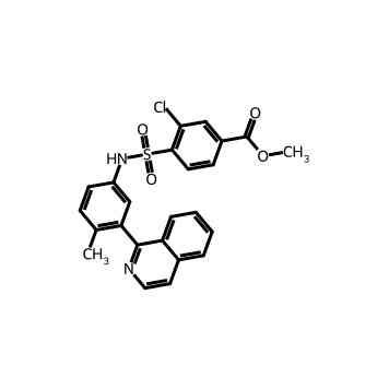 COC(=O)c1ccc(S(=O)(=O)Nc2ccc(C)c(-c3nccc4ccccc34)c2)c(Cl)c1